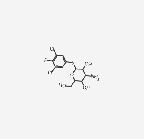 NC1C(O)C(CO)OC(Sc2cc(Cl)c(F)c(Cl)c2)C1O